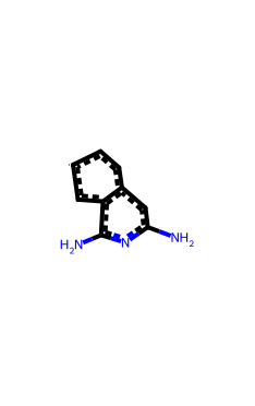 Nc1cc2cc[c]cc2c(N)n1